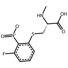 CN[C@@H](CSc1cccc(F)c1[N+](=O)[O-])C(=O)O